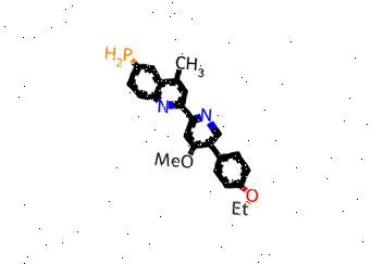 CCOc1ccc(-c2cnc(-c3cc(C)c4cc(P)ccc4n3)cc2OC)cc1